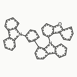 c1cc(-c2cccc3c4ccccc4n(-c4cccc5oc6ccccc6c45)c23)cc(-n2c3ccccc3c3ccccc32)c1